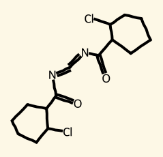 O=C(N=C=NC(=O)C1CCCCC1Cl)C1CCCCC1Cl